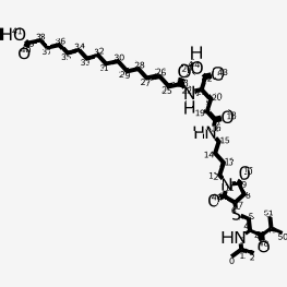 CC(C)NC(CSC1CC(=O)N(CCCCNC(=O)CCC(NC(=O)CCCCCCCCCCCCCCC(=O)O)C(=O)O)C1=O)C(=O)C(C)C